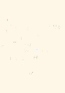 CCCC1O[C@@H]2C[C@H]3[C@@H]4C[C@H](F)C5=CC(=O)C=C[C@]5(C)[C@@]4(F)[C@@H](O)C[C@]3(C)[C@]2(C(=O)CN(C)Cc2ccc(OC)cc2)O1